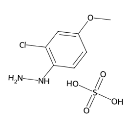 COc1ccc(NN)c(Cl)c1.O=S(=O)(O)O